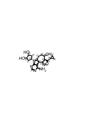 Nc1ncnc2c1c1c(n2[C@@H]2C[C@@H](O)[C@@H](O)C2)CCC(O)c2c-1noc2C1CC1